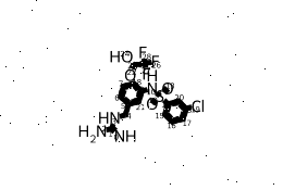 N=C(N)NCc1cccc(NS(=O)(=O)c2cccc(Cl)c2)c1.O=C(O)C(F)(F)F